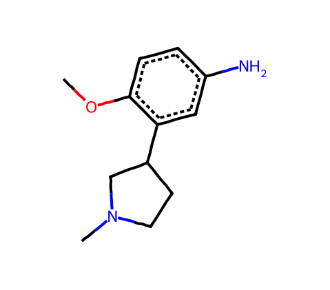 COc1ccc(N)cc1C1CCN(C)C1